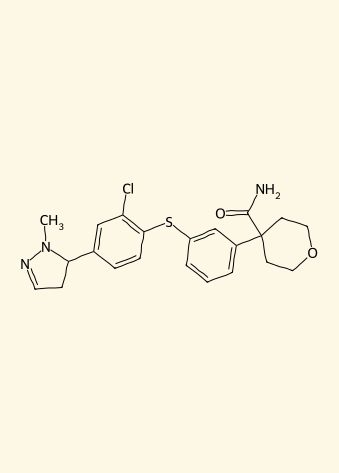 CN1N=CCC1c1ccc(Sc2cccc(C3(C(N)=O)CCOCC3)c2)c(Cl)c1